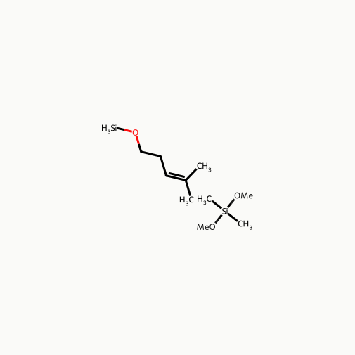 CC(C)=CCCO[SiH3].CO[Si](C)(C)OC